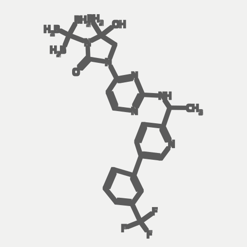 BC(B)(B)N1C(=O)N(c2ccnc(NC(C)c3ccc(-c4cccc(C(F)(F)F)c4)cn3)n2)CC1(B)O